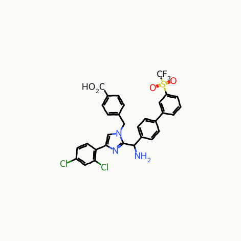 NC(c1ccc(-c2cccc(S(=O)(=O)C(F)(F)F)c2)cc1)c1nc(-c2ccc(Cl)cc2Cl)cn1Cc1ccc(C(=O)O)cc1